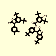 CC(C)(C)c1ccc(OC(=O)c2cc(C(C)(C)C)c(O)c(C(C)(C)C)c2)c(C2C(=O)Oc3ccc(C(C)(C)C)cc32)c1.Cc1ccc(C2C(=O)Oc3c2cc(C(C)(C)C)cc3C(C)(C)C)cc1C